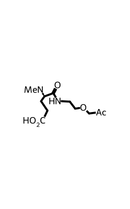 CN[C@H](CCC(=O)O)C(=O)NCCOCC(C)=O